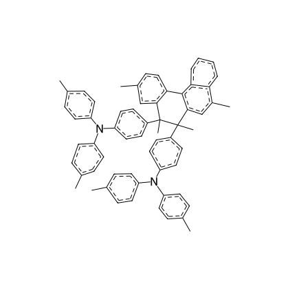 Cc1ccc(N(c2ccc(C)cc2)c2ccc(C3(C)c4cc(C)ccc4-c4c(cc(C)c5ccccc45)C3(C)c3ccc(N(c4ccc(C)cc4)c4ccc(C)cc4)cc3)cc2)cc1